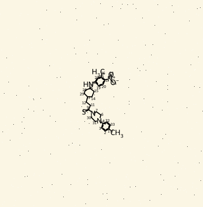 Cc1ccc(N2CCN(C(=S)CCC3CCC(Nc4ccc([N+](=O)[O-])c(C)c4)CC3)CC2)cc1